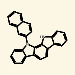 c1ccc2cc(-n3c4ccccc4c4ccc5c6ccccc6[nH]c5c43)ccc2c1